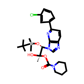 CC(C)(C)[Si](C)(C)O[C@H](n1cnc2ccc(-c3cccc(Cl)c3)nc21)[C@](C)(O)OC(=O)N1CCCCC1